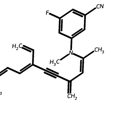 C=C/C(C#CC(=C)/C=C(/C)N(C)c1cc(F)cc(C#N)c1)=C\C=C/C